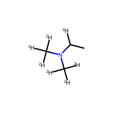 [2H]C(C)N(C([2H])([2H])[2H])C([2H])([2H])[2H]